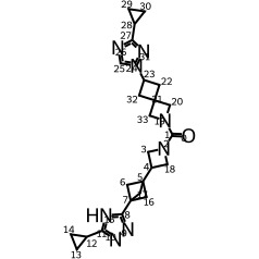 O=C(N1CC(C23CC(c4nnc(C5CC5)[nH]4)(C2)C3)C1)N1CC2(CC(n3cnc(C4CC4)n3)C2)C1